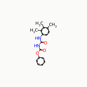 Cc1ccc(NC(=O)NC(=O)Oc2ccccc2)c(C)c1C